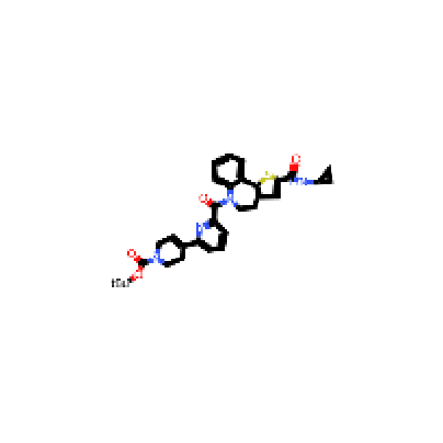 CC(C)(C)OC(=O)N1CC=C(c2cccc(C(=O)N3CCc4cc(C(=O)NC5CC5)sc4-c4ccccc43)n2)CC1